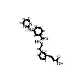 O=C(O)C=Cc1cccc(CCNC(=O)c2cccc(Nc3ncccn3)c2)c1